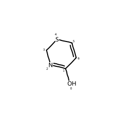 OC1=NCSC=C1